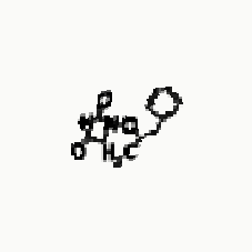 CC(Cc1ccccc1)ON1CC(=O)[N]C1=O